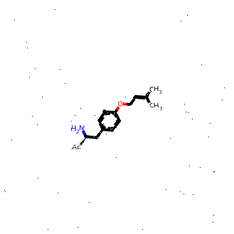 CC(=O)[C@@H](N)Cc1ccc(OCC=C(C)C)cc1